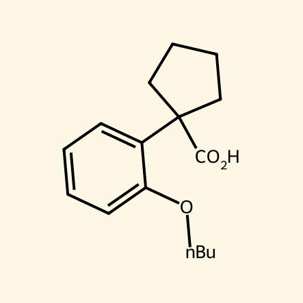 CCCCOc1ccccc1C1(C(=O)O)CCCC1